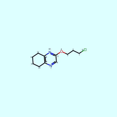 ClCCCOc1cnc2c(n1)CCCC2